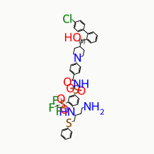 NCCC(CSc1ccccc1)Nc1ccc(S(=O)(=O)NC(=O)c2ccc(N3CCC([C@H](O)c4ccccc4-c4ccc(Cl)cc4)CC3)cc2)cc1S(=O)(=O)C(F)(F)F